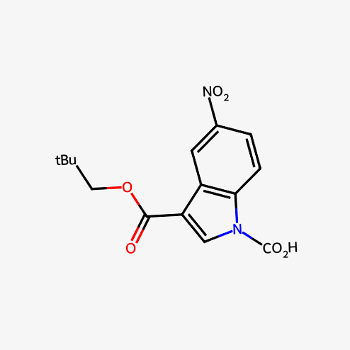 CC(C)(C)COC(=O)c1cn(C(=O)O)c2ccc([N+](=O)[O-])cc12